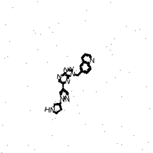 c1cnc2ccc(Cn3nnc4ncc(-c5cnn(C6CCNC6)c5)nc43)cc2c1